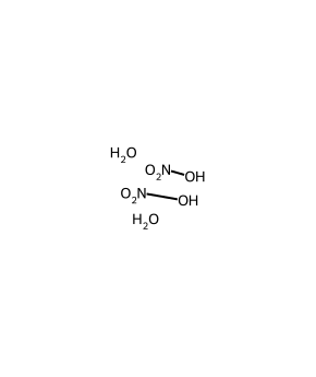 O.O.O=[N+]([O-])O.O=[N+]([O-])O